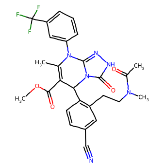 COC(=O)C1=C(C)N(c2cccc(C(F)(F)F)c2)c2n[nH]c(=O)n2C1c1ccc(C#N)cc1CCN(C)C(C)=O